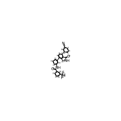 N#Cc1cccc(-c2ccc(-c3cccc(NC(=O)c4cccc(C(F)(F)F)c4)c3)c3c2C(=O)NC3)c1